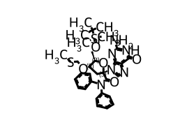 CSCO[C@H]1C[C@](C(=O)N(c2ccccc2)c2ccccc2)(n2cnc3c(=O)[nH]c(N)nc32)O[C@@H]1CO[Si](C)(C)C(C)(C)C